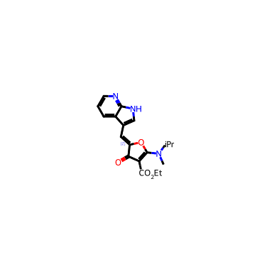 CCOC(=O)C1=C(N(C)C(C)C)O/C(=C\c2c[nH]c3ncccc23)C1=O